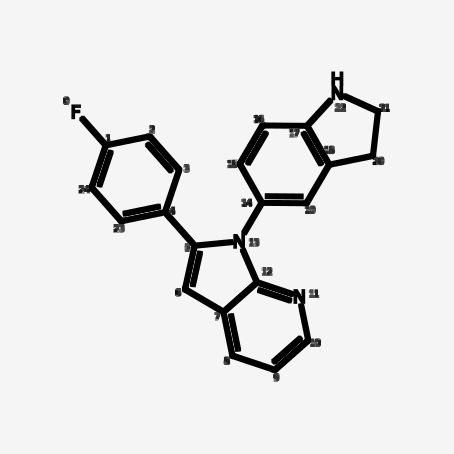 Fc1ccc(-c2cc3cccnc3n2-c2ccc3c(c2)CCN3)cc1